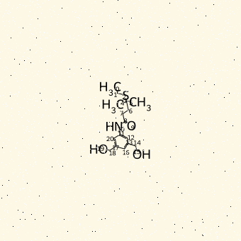 CCSC(C)(C)CCC(=O)Nc1cc(CO)cc(CO)c1